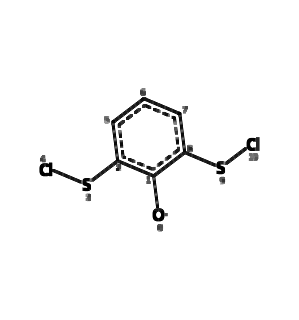 [O]c1c(SCl)cccc1SCl